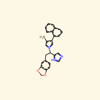 O=[N+]([O-])c1cn(C(Cc2ccc3c(c2)OCO3)c2cnc[nH]2)cc1-c1cccc2ccccc12